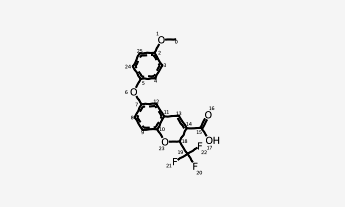 COc1ccc(Oc2ccc3c(c2)C=C(C(=O)O)C(C(F)(F)F)O3)cc1